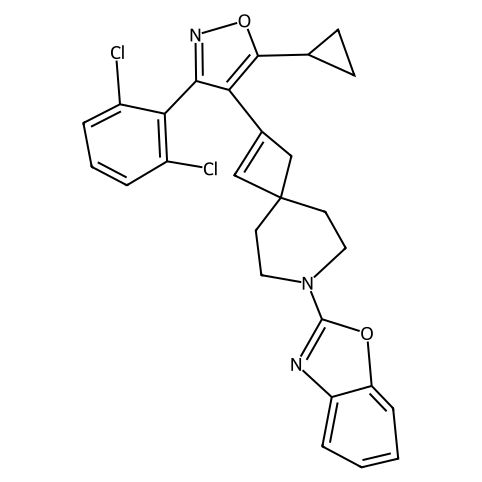 Clc1cccc(Cl)c1-c1noc(C2CC2)c1C1=CC2(CCN(c3nc4ccccc4o3)CC2)C1